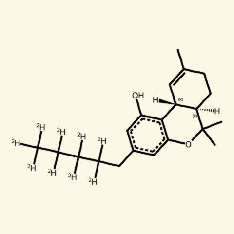 [2H]C([2H])([2H])C([2H])([2H])C([2H])([2H])C([2H])([2H])Cc1cc(O)c2c(c1)OC(C)(C)[C@@H]1CCC(C)=C[C@@H]21